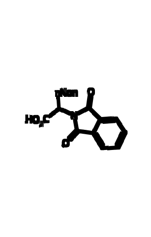 CCCCCCCCCC(C(=O)O)N1C(=O)c2ccccc2C1=O